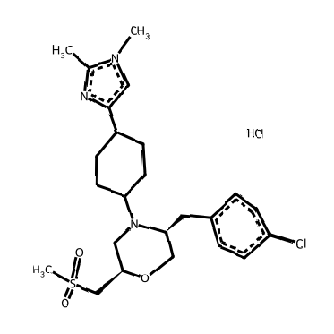 Cc1nc(C2CCC(N3C[C@H](CS(C)(=O)=O)OC[C@@H]3Cc3ccc(Cl)cc3)CC2)cn1C.Cl